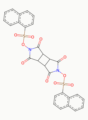 O=C1C2C(C(=O)N1OS(=O)(=O)c1cccc3ccccc13)C1C(=O)N(OS(=O)(=O)c3cccc4ccccc34)C(=O)C21